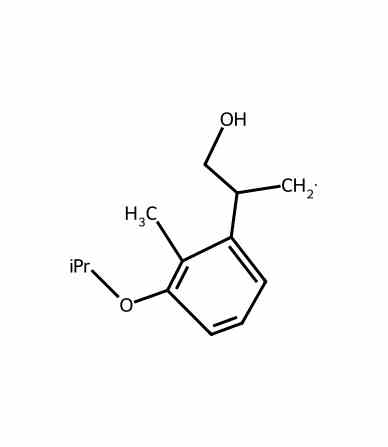 [CH2]C(CO)c1cccc(OC(C)C)c1C